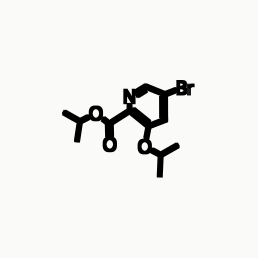 CC(C)OC(=O)c1ncc(Br)cc1OC(C)C